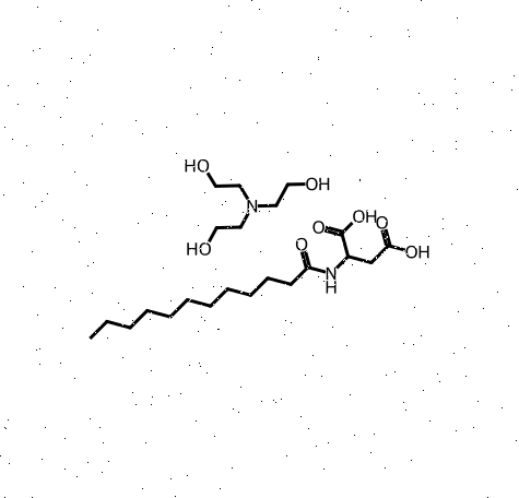 CCCCCCCCCCCC(=O)NC(CC(=O)O)C(=O)O.OCCN(CCO)CCO